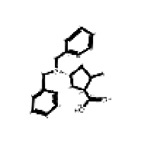 CC1C[C@@H](N(Cc2ccccc2)Cc2ccccc2)CC1C(=O)O